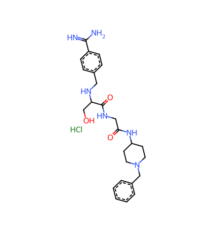 Cl.N=C(N)c1ccc(CNC(CO)C(=O)NCC(=O)NC2CCN(Cc3ccccc3)CC2)cc1